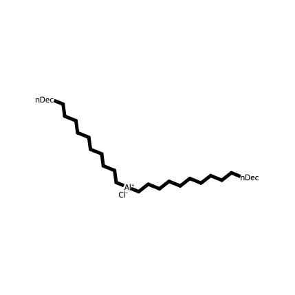 CCCCCCCCCCCCCCCCCCC[CH2][Al+][CH2]CCCCCCCCCCCCCCCCCCC.[Cl-]